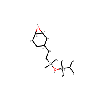 CC(C)[Si](C)(C)O[Si](C)(C)CCC1CCC2OC2C1